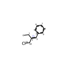 CC/C(=C\c1ccccc1)CCl